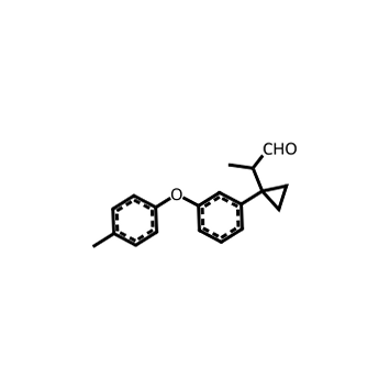 Cc1ccc(Oc2cccc(C3(C(C)C=O)CC3)c2)cc1